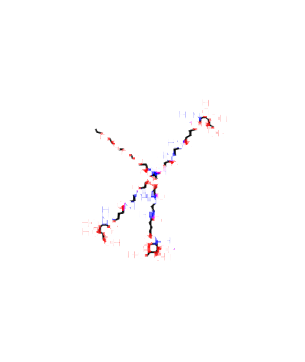 CCCOCCOCCOCCOCCC(=O)NC(COCCC(=O)NCCCNC(=O)CCCCOC1OC(CO)C(O)C(O)C1N)(COCCC(=O)NCCCNC(=O)CCCCOC1OC(CO)C(O)C(O)C1N)COCCC(=O)NCCCNC(=O)CCCCOC1OC(CO)C(O)C(O)C1N